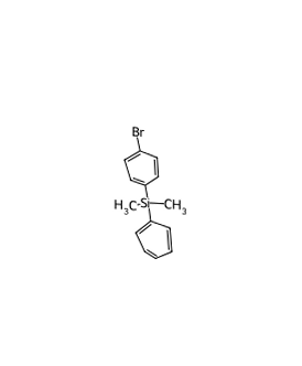 C[Si](C)(c1ccccc1)c1ccc(Br)cc1